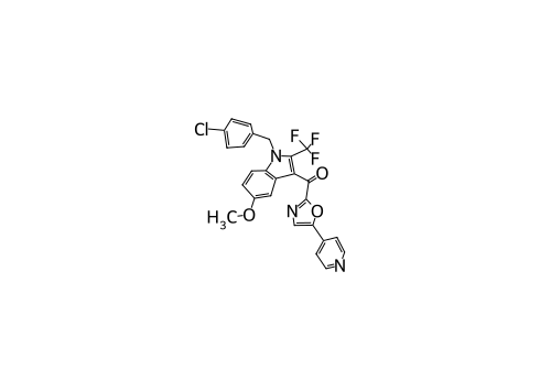 COc1ccc2c(c1)c(C(=O)c1ncc(-c3ccncc3)o1)c(C(F)(F)F)n2Cc1ccc(Cl)cc1